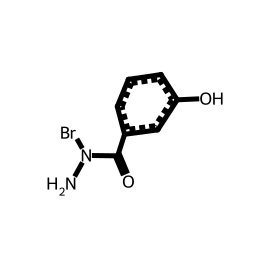 NN(Br)C(=O)c1cccc(O)c1